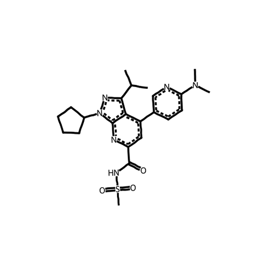 CC(C)c1nn(C2CCCC2)c2nc(C(=O)NS(C)(=O)=O)cc(-c3ccc(N(C)C)nc3)c12